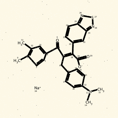 Cc1ccc(C(=O)C(Cc2ccc(N(C)C)cc2)=C(C(=O)[O-])c2ccc3nsnc3c2)cc1C.[Na+]